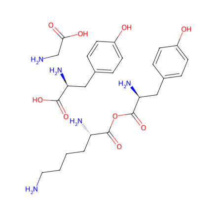 NCC(=O)O.NCCCC[C@H](N)C(=O)OC(=O)[C@@H](N)Cc1ccc(O)cc1.N[C@@H](Cc1ccc(O)cc1)C(=O)O